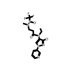 CCN(C(=O)CCN(C)[S+]([O-])C(F)(F)F)c1cn(-c2cccnc2)nc1Cl